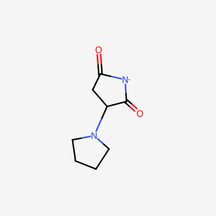 O=C1CC(N2CCCC2)C(=O)[N]1